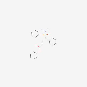 CN(Cc1ccccc1)S(=O)(=O)C(CCC(=O)Oc1ccccc1)c1ccccc1